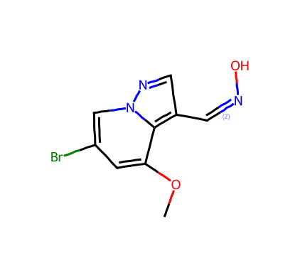 COc1cc(Br)cn2ncc(/C=N\O)c12